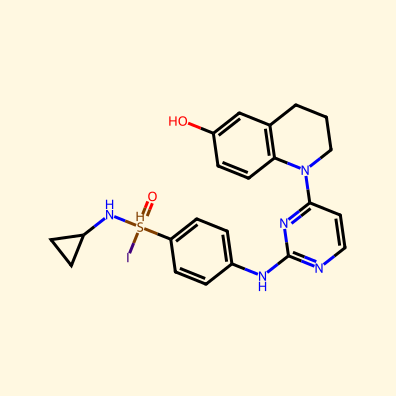 O=[SH](I)(NC1CC1)c1ccc(Nc2nccc(N3CCCc4cc(O)ccc43)n2)cc1